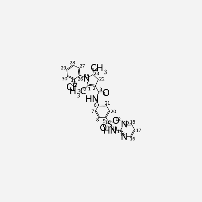 CC1=C(C(=O)Nc2ccc(S(=O)(=O)Nc3ncccn3)cc2)CC(C)N1c1ccccc1C(F)(F)F